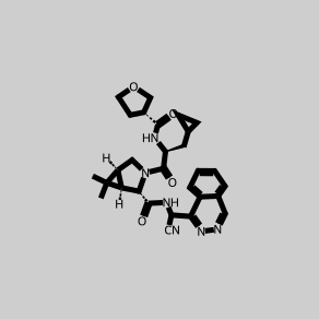 CC1(C)[C@@H]2[C@@H](C(=O)NC(C#N)c3nncc4ccccc34)N(C(=O)[C@H](CC3CC3)NC(=O)[C@@H]3CCOC3)C[C@@H]21